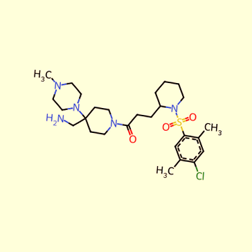 Cc1cc(S(=O)(=O)N2CCCCC2CCC(=O)N2CCC(CN)(N3CCN(C)CC3)CC2)c(C)cc1Cl